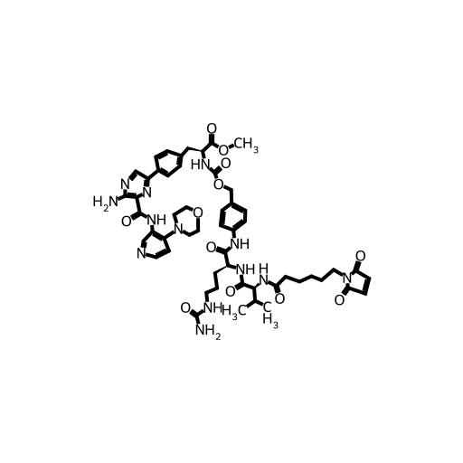 COC(=O)[C@H](Cc1ccc(-c2cnc(N)c(C(=O)Nc3cnccc3N3CCOCC3)n2)cc1)NC(=O)OCc1ccc(NC(=O)[C@H](CCCNC(N)=O)NC(=O)[C@@H](NC(=O)CCCCCN2C(=O)C=CC2=O)C(C)C)cc1